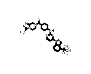 Cc1nnc2n1CCN(C(=O)C1CCC(Nc3nccc(-n4ncc5c(C(C)(C)O)cccc54)n3)CC1)C2